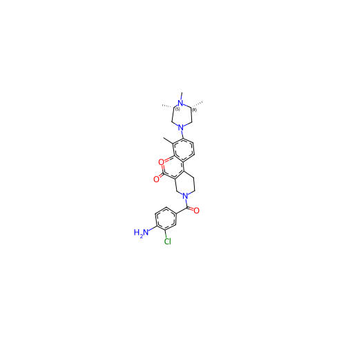 Cc1c(N2C[C@@H](C)N(C)[C@@H](C)C2)ccc2c3c(c(=O)oc12)CN(C(=O)c1ccc(N)c(Cl)c1)CC3